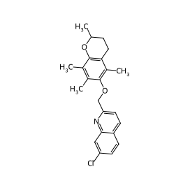 Cc1c(C)c2c(c(C)c1OCc1ccc3ccc(Cl)cc3n1)CCC(C)O2